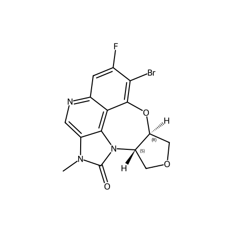 Cn1c(=O)n2c3c4c(c(Br)c(F)cc4ncc31)O[C@H]1COC[C@@H]12